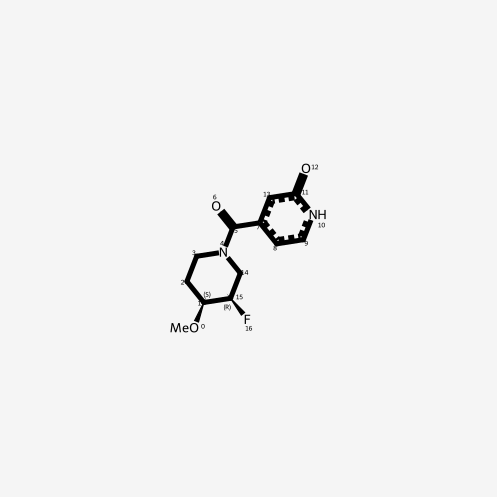 CO[C@H]1CCN(C(=O)c2cc[nH]c(=O)c2)C[C@H]1F